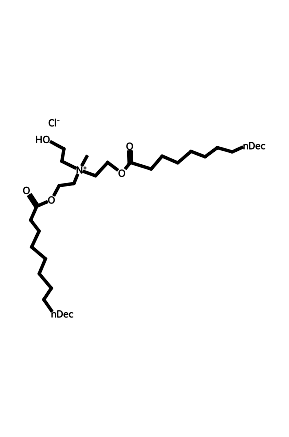 CCCCCCCCCCCCCCCCCC(=O)OCC[N+](C)(CCO)CCOC(=O)CCCCCCCCCCCCCCCCC.[Cl-]